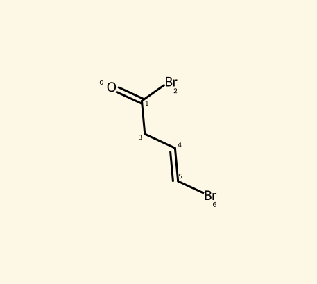 O=C(Br)CC=CBr